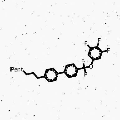 CCCC(C)CCCc1ccc(-c2ccc(C(F)(F)Oc3cc(F)c(F)c(F)c3)cc2)cc1